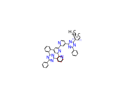 C=C/C=C(\C=C/C)c1nc(-c2ccccc2)nc(-c2ccnc(-c3cc(-c4ccccc4-c4nc(-c5ccccc5)nc(-c5ccccc5)n4)cc(-c4ccccn4)n3)c2)n1